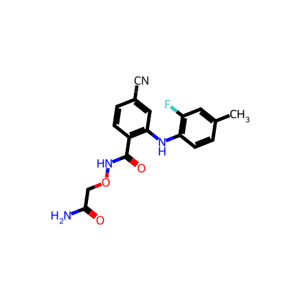 Cc1ccc(Nc2cc(C#N)ccc2C(=O)NOCC(N)=O)c(F)c1